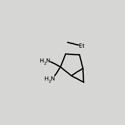 CCC.NC1(N)CCC2CC21